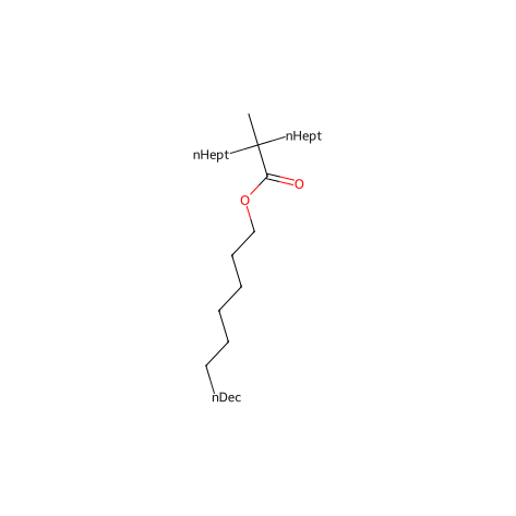 CCCCCCCCCCCCCCCCOC(=O)C(C)(CCCCCCC)CCCCCCC